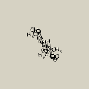 Cc1c(Cl)cccc1N1CCN(CC(O)CNC(=O)c2nc(C)n(-c3ccc4c(c3)OCO4)c2C)CC1